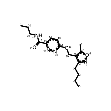 CCCCc1noc(C)c1COc1ccc(C(=O)NCCC)nn1